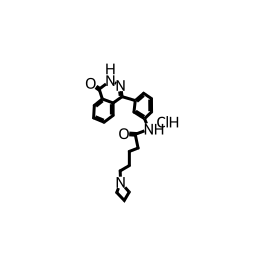 Cl.O=C(CCCCN1CCC1)Nc1cccc(-c2n[nH]c(=O)c3ccccc23)c1